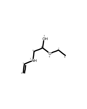 C=CNCC(O)OCC